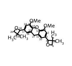 COc1cc(C2OCC2(C)C)cc2c1Oc1c(cc(C3OCC3(C)C)cc1OC)C2